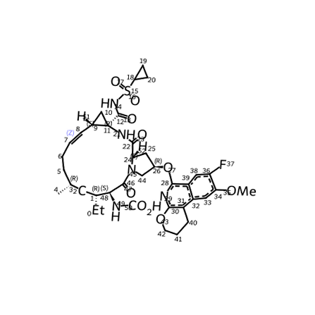 CC[C@@H]1C[C@H](C)CC/C=C\[C@@H]2C[C@@]2(C(=O)NS(=O)(=O)C2CC2)NC(=O)[C@@H]2C[C@@H](Oc3nc4c(c5cc(OC)c(F)cc35)CCCO4)CN2C(=O)[C@H]1NC(=O)O